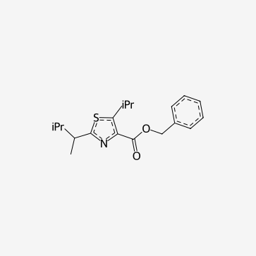 CC(C)c1sc(C(C)C(C)C)nc1C(=O)OCc1ccccc1